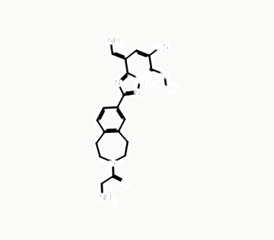 C=C(OCCC)/C(C#N)=C\C(=C/N)c1nc(-c2ccc3c(c2)CCN(C(=O)CN)CC3)no1